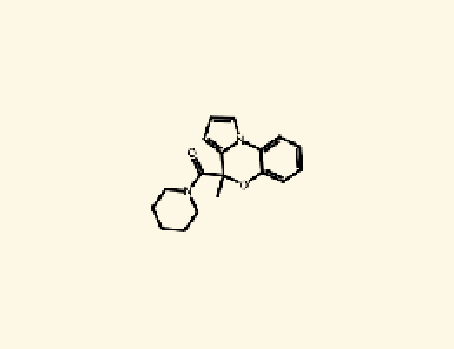 CC1(C(=O)N2CCCCC2)Oc2ccccc2-n2cccc21